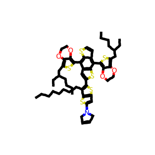 CCCCCCCCc1c(-c2cc3c(-c4sc(CC(CC)CCCC)c5c4OCCO5)c4sccc4c(-c4sc(CC(CC)CCCC)c5c4OCCO5)c3s2)sc2cc(N3CC=CC3)sc12